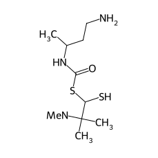 CNC(C)(C)C(S)SC(=O)NC(C)CCN